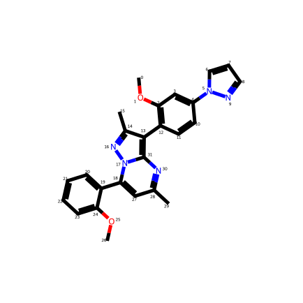 COc1cc(-n2cccn2)ccc1-c1c(C)nn2c(-c3ccccc3OC)cc(C)nc12